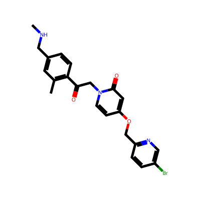 CNCc1ccc(C(=O)Cn2ccc(OCc3ccc(Br)cn3)cc2=O)c(C)c1